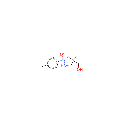 Cc1ccc([N+]2([O-])CC(C)(CO)CN2)cc1